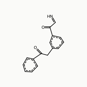 N=CC(=O)c1cccc(CC(=O)c2ccccc2)c1